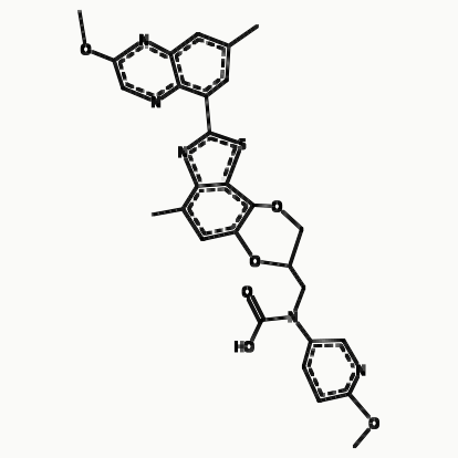 COc1ccc(N(CC2COc3c(cc(C)c4nc(-c5cc(C)cc6nc(OC)cnc56)sc34)O2)C(=O)O)cn1